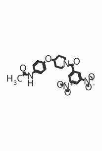 CC(=O)Nc1ccc(OC2CCN(C(=O)c3cc([N+](=O)[O-])cc([N+](=O)[O-])c3)CC2)cc1